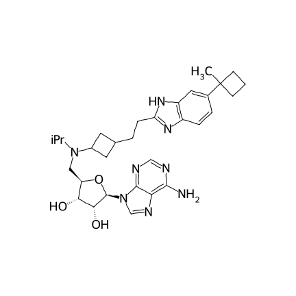 CC(C)N(C[C@H]1O[C@@H](n2cnc3c(N)ncnc32)[C@H](O)[C@@H]1O)C1CC(CCc2nc3ccc(C4(C)CCC4)cc3[nH]2)C1